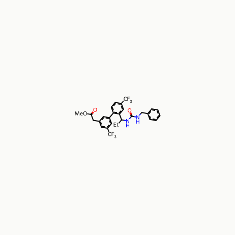 CCC(NC(=O)NCc1ccccc1)c1cc(C(F)(F)F)ccc1-c1cc(CC(=O)OC)cc(C(F)(F)F)c1